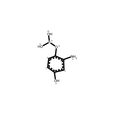 Nc1cc(O)ccc1OP(O)O